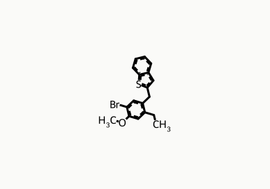 CCc1cc(OC)c(Br)cc1Cc1cc2ccccc2s1